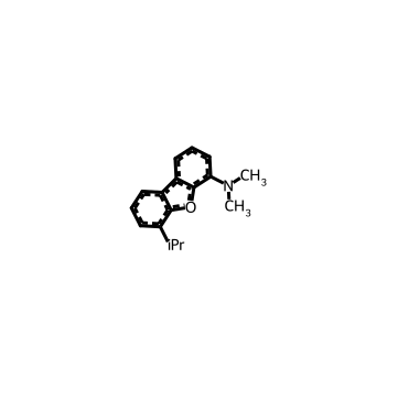 CC(C)c1cccc2c1oc1c(N(C)C)cccc12